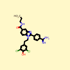 N=C(N)c1ccc(-c2nc3cc(C(=O)NCCC(=O)O)ccc3n2CCc2cc(Cl)c(O)c(Cl)c2)cc1